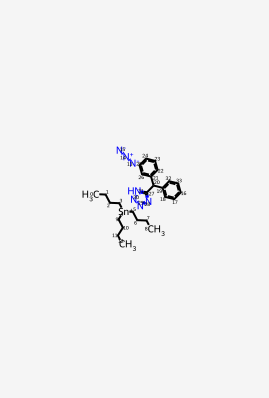 CCC[CH2][Sn+]([CH2]CCC)[CH2]CCC.[N-]=[N+]=[N-].c1ccc(C(c2ccccc2)c2nnn[nH]2)cc1